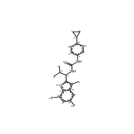 Cc1c(C(NC(=O)Nc2cnc(C3CC3)nc2)C(C)C)oc2c(F)cc(F)cc12